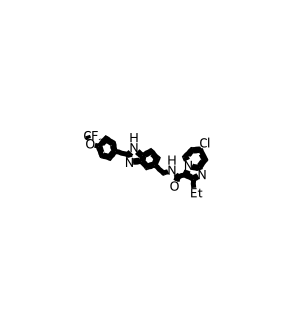 CCc1nc2cc(Cl)ccn2c1C(=O)NCc1ccc2[nH]c(-c3ccc(OC(F)(F)F)cc3)nc2c1